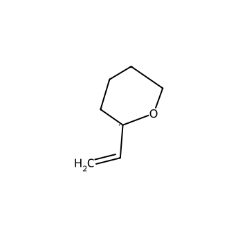 C=C[C]1CCCCO1